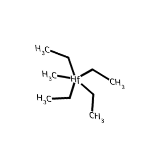 C[CH2][Hf]([CH3])([CH2]C)([CH2]C)[CH2]C